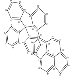 c1ccc(C2(c3ccccc3)c3ccccc3-c3cccc(-c4ccc5ccc6cccc7ccc4c5c67)c32)cc1